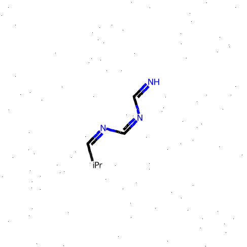 CC(C)/C=N\C=N/C=N